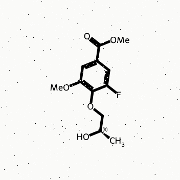 COC(=O)c1cc(F)c(OC[C@@H](C)O)c(OC)c1